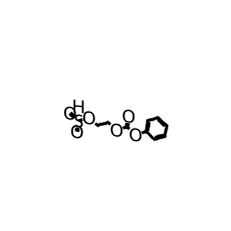 O=C(OCCO[SH](=O)=O)Oc1ccccc1